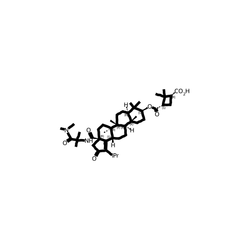 CC(C)C1=C2[C@H]3CC[C@@H]4[C@@]5(C)CC[C@H](OC(=O)[C@H]6C[C@@H](C(=O)O)C6(C)C)C(C)(C)[C@@H]5CC[C@@]4(C)[C@]3(C)CC[C@@]2(C(=O)NC(C)(C)C(=O)N(C)C)CC1=O